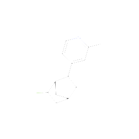 CCc1cc(C2CC3CC(F)C2C3)ccn1